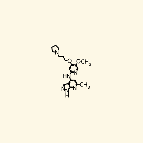 COc1cnc(Nc2cc(C)nc3[nH]ncc23)cc1OCCCN1CCCC1